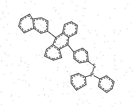 c1ccc(P(Sc2ccc(-c3c4ccccc4c(-c4ccc5ccccc5c4)c4ccccc34)cc2)c2ccccc2)cc1